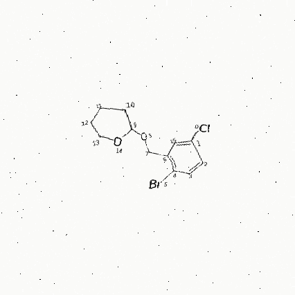 Clc1ccc(Br)c(COC2CCCCO2)c1